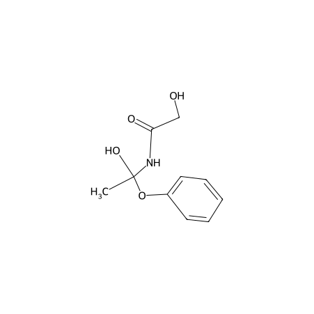 CC(O)(NC(=O)CO)Oc1ccccc1